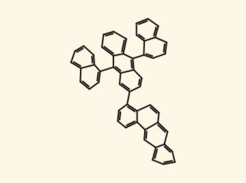 c1ccc2cc3c(ccc4c(-c5ccc6c(-c7cccc8ccccc78)c7ccccc7c(-c7cccc8ccccc78)c6c5)cccc43)cc2c1